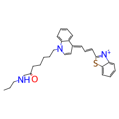 CCCNCC(=O)CCCCCN1C=CC(=CC=Cc2sc3ccccc3[n+]2C)c2ccccc21